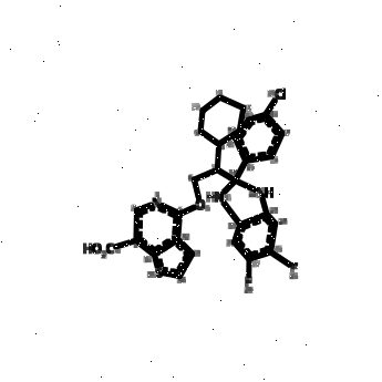 O=C(O)c1cnc(OCC(C2CCCCC2)C2(c3ccc(Cl)cc3)Nc3cc(F)c(F)cc3N2)c2ccsc12